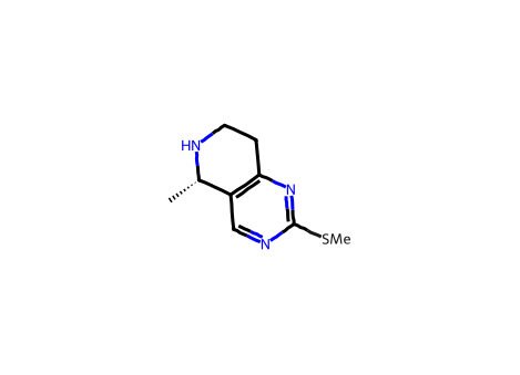 CSc1ncc2c(n1)CCN[C@H]2C